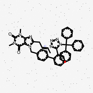 C/C=C/Cc1nc2c(c(=O)n(C)c(=O)n2C)n1Cc1ccc(-c2ccccc2-c2nnnn2C(c2ccccc2)(c2ccccc2)c2ccccc2)cc1